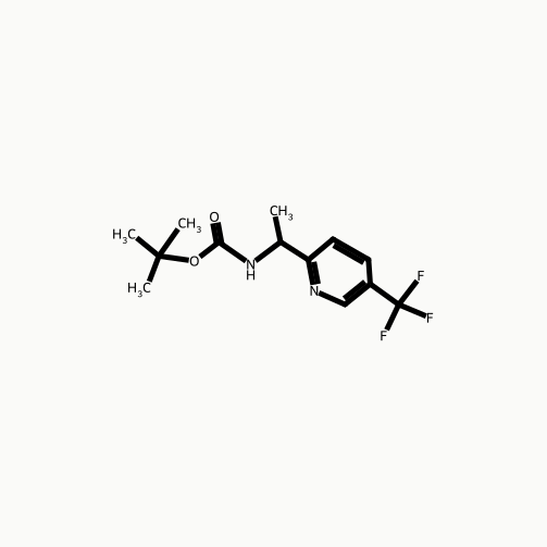 CC(NC(=O)OC(C)(C)C)c1ccc(C(F)(F)F)cn1